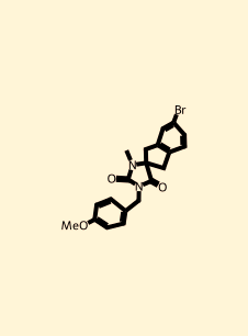 COc1ccc(CN2C(=O)N(C)C3(Cc4ccc(Br)cc4C3)C2=O)cc1